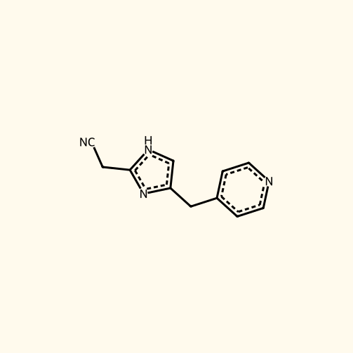 N#CCc1nc(Cc2ccncc2)c[nH]1